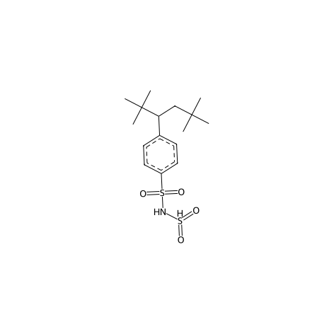 CC(C)(C)CC(c1ccc(S(=O)(=O)N[SH](=O)=O)cc1)C(C)(C)C